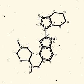 CN1CCC(N(C)Cc2ccc3[nH]c(-c4n[nH]c5c4CCCC5)cc3c2)CC1